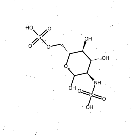 O=S(=O)(O)N[C@H]1C(O)O[C@H](COS(=O)(=O)O)[C@@H](O)[C@@H]1O